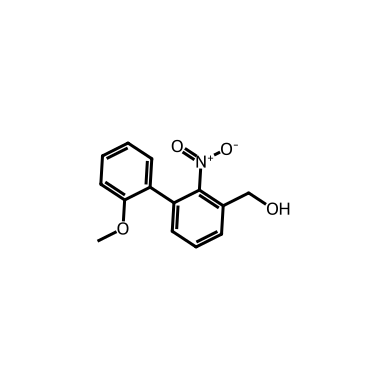 COc1ccccc1-c1cccc(CO)c1[N+](=O)[O-]